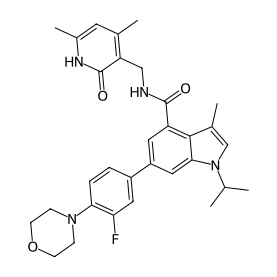 Cc1cc(C)c(CNC(=O)c2cc(-c3ccc(N4CCOCC4)c(F)c3)cc3c2c(C)cn3C(C)C)c(=O)[nH]1